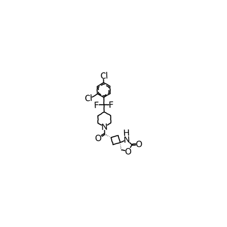 O=C1N[C@]2(CO1)C[C@@H](C(=O)N1CCC(C(F)(F)c3ccc(Cl)cc3Cl)CC1)C2